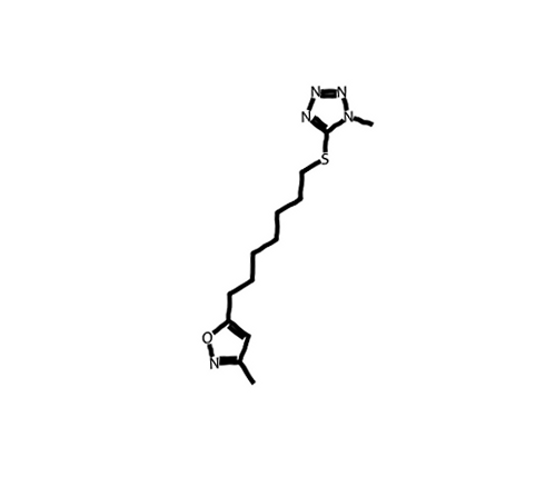 Cc1cc(CCCCCCCSc2nnnn2C)on1